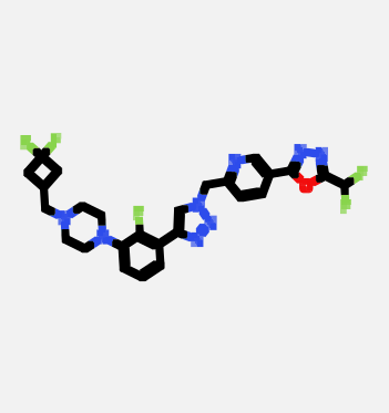 Fc1c(-c2cn(Cc3ccc(-c4nnc(C(F)F)o4)cn3)nn2)cccc1N1CCN(CC2CC(F)(F)C2)CC1